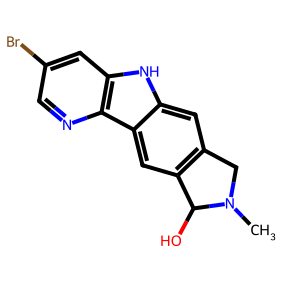 CN1Cc2cc3[nH]c4cc(Br)cnc4c3cc2C1O